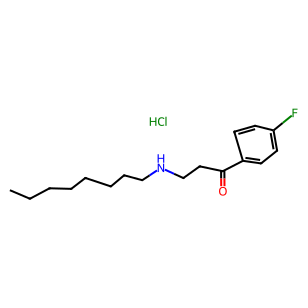 CCCCCCCCNCCC(=O)c1ccc(F)cc1.Cl